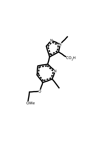 COCOc1ccc(-c2cnn(C)c2C(=O)O)nc1C